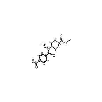 COC(=O)N1CCC(N(C)C(=O)c2ccc(C(=O)[O-])cc2)CC1.[Li+]